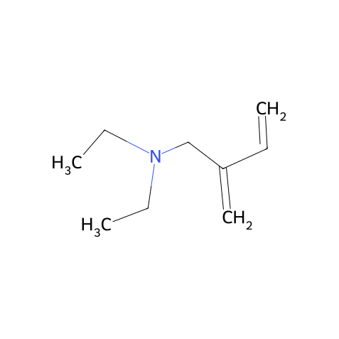 C=CC(=C)CN(CC)CC